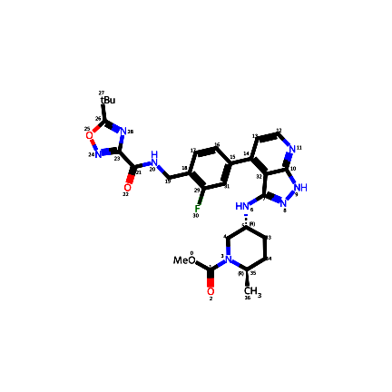 COC(=O)N1C[C@H](Nc2n[nH]c3nccc(-c4ccc(CNC(=O)c5noc(C(C)(C)C)n5)c(F)c4)c23)CC[C@H]1C